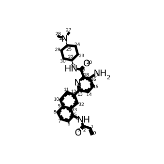 C=CC(=O)Nc1cccc2ccc(-c3ccc(N)c(C(=O)N[C@H]4CC[C@@H](N(C)C)CC4)n3)cc12